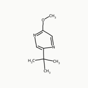 COc1cnc(C(C)(C)C)cn1